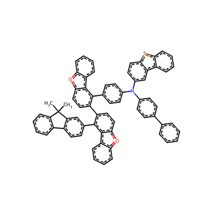 CC1(C)c2ccccc2-c2ccc(-c3c(-c4ccc5oc6ccccc6c5c4-c4ccc(N(c5ccc(-c6ccccc6)cc5)c5ccc6sc7ccccc7c6c5)cc4)ccc4oc5ccccc5c34)cc21